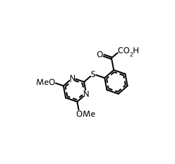 COc1cc(OC)nc(Sc2ccccc2C(=O)C(=O)O)n1